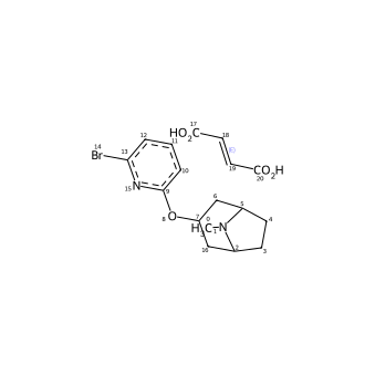 CN1C2CCC1CC(Oc1cccc(Br)n1)C2.O=C(O)/C=C/C(=O)O